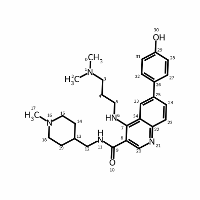 CN(C)CCCNc1c(C(=O)NCC2CCN(C)CC2)cnc2ccc(-c3ccc(O)cc3)cc12